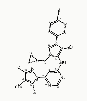 CCc1c(-c2ccc(F)cc2)nn(CC2CC2)c1Nc1cc(-n2nc(C)c(Cl)c2C)ncn1